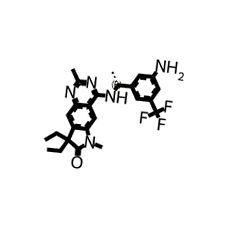 CCC1(CC)C(=O)N(C)c2cc3c(N[C@H](C)c4cc(N)cc(C(F)(F)F)c4)nc(C)nc3cc21